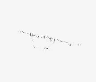 CCCCC/C=C\C/C=C\CCCCCC[C@@H](O)CN(CCCC(=O)OCCN1CCN(CCSSCCCCN(C[C@@H](O)CCCCCC/C=C\CCCCCCCC)C[C@@H](O)CCCCCC/C=C\CCCCCCCC)CC1)C[C@H](O)CCCCCC/C=C\C/C=C\CCCCC